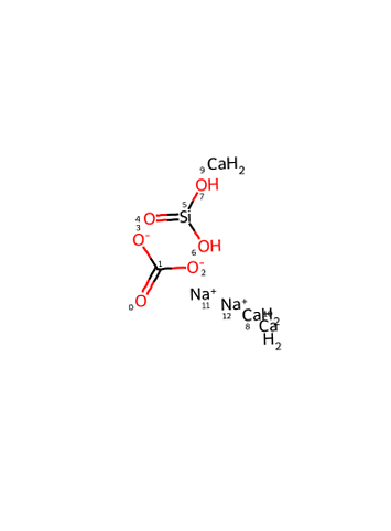 O=C([O-])[O-].O=[Si](O)O.[CaH2].[CaH2].[CaH2].[Na+].[Na+]